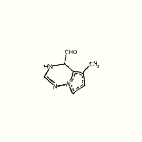 Cc1ccn2c1C(C=O)NC=N2